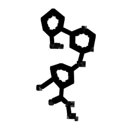 COc1ccccc1-c1cc(Nc2ccc(Cl)c(C(=O)NN)c2)ncn1